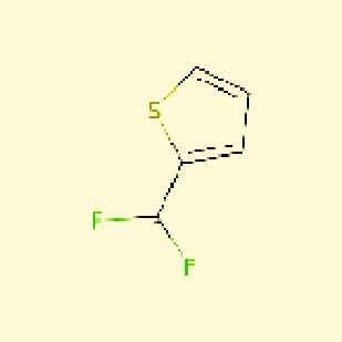 F[C](F)c1cccs1